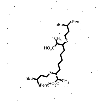 CCCCCC(CCCC)CCSC(CCCCCC(SCCC(CCCC)CCCCC)C(C)C(=O)O)C(C)C(=O)O